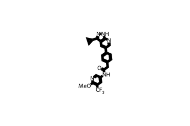 COc1ncc(NC(=O)Cc2ccc(-c3cnc4[nH]nc(C5CC5)c4c3)cc2)cc1C(F)(F)F